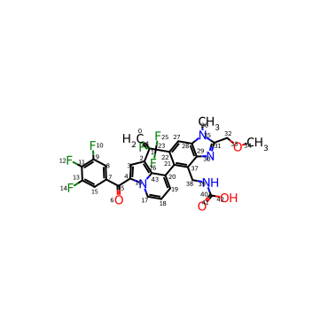 C=Cc1cc(C(=O)c2cc(F)c(F)c(F)c2)n2cccc(-c3c(C(F)(F)F)cc4c(nc(COC)n4C)c3CNC(=O)O)c12